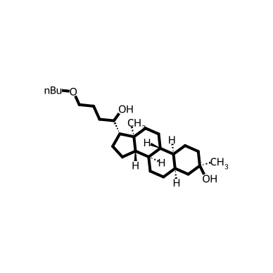 CCCCOCCCC(O)[C@H]1CC[C@H]2[C@@H]3CC[C@@H]4C[C@](C)(O)CC[C@@H]4[C@H]3CC[C@]12C